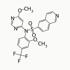 COc1cc(N(c2ccc(C(F)(F)F)cc2OC)S(=O)(=O)c2ccc3cnccc3c2)ncn1